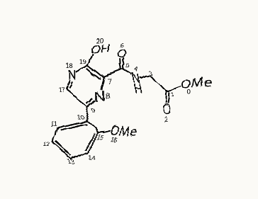 COC(=O)CNC(=O)c1nc(-c2ccccc2OC)cnc1O